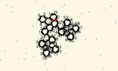 c1ccc(-c2ccccc2-c2c3cccc(-c4cccc5c4-c4ccccc4[Si]5(c4ccccc4)c4ccccc4)c3cc3c(-c4cccc5c4-c4ccccc4[Si]5(c4ccccc4)c4ccccc4)cccc23)cc1